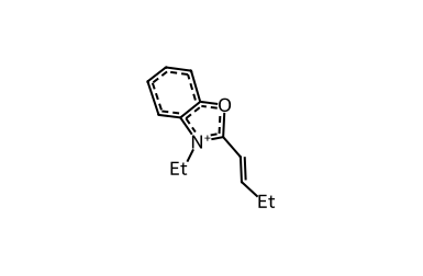 CCC=Cc1oc2ccccc2[n+]1CC